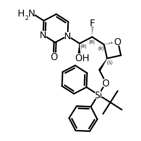 CC(C)(C)[Si](OC[C@@H]1CO[C@H]1[C@@H](F)[C@@H](O)n1ccc(N)nc1=O)(c1ccccc1)c1ccccc1